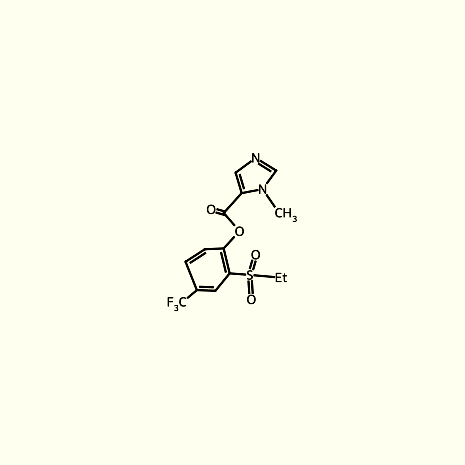 CCS(=O)(=O)c1cc(C(F)(F)F)ccc1OC(=O)c1cncn1C